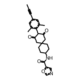 CC#Cc1cc(C)c(C2C(=O)CC3(CCC(NC(=O)c4cnco4)CC3)CC2=O)c(C)c1